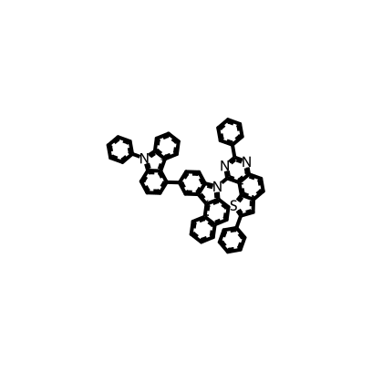 c1ccc(-c2nc(-n3c4ccc(-c5cccc6c5c5ccccc5n6-c5ccccc5)cc4c4c5ccccc5ccc43)c3c(ccc4cc(-c5ccccc5)sc43)n2)cc1